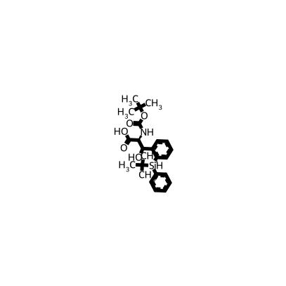 CC(C)(C)OC(=O)N[C@H](C(=O)O)C(O)c1ccccc1[SiH](c1ccccc1)C(C)(C)C